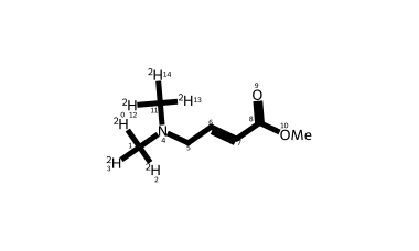 [2H]C([2H])([2H])N(C/C=C/C(=O)OC)C([2H])([2H])[2H]